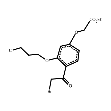 CCOC(=O)COc1ccc(C(=O)CBr)c(OCCCCl)c1